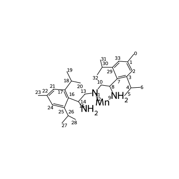 Cc1cc(C(C)C)c(C(N)C[N]([Mn])CC(N)c2c(C(C)C)cc(C)cc2C(C)C)c(C(C)C)c1